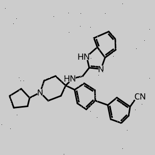 N#Cc1cccc(-c2ccc(C3(NCc4nc5ccccc5[nH]4)CCN(C4CCCC4)CC3)cc2)c1